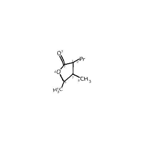 CC(C)C1C(=O)OC(C)C1C